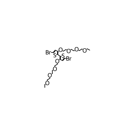 CCOCCOCCOCCOc1cc(Br)sc1-c1sc(Br)cc1OCCOCCOCCOCC